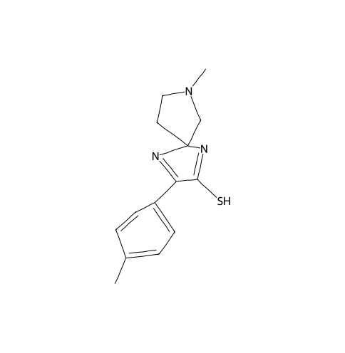 Cc1ccc(C2=NC3(CCN(C)C3)N=C2S)cc1